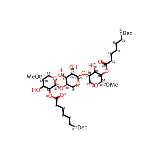 CCCCCCCCCCCCCCCC(=O)OC1C(O)[C@H](OC)CO[C@H]1O[C@@H]1CO[C@@H](O[C@@H]2CO[C@@H](OC)C(OC(=O)CCCCCCCCCCCCCCC)C2O)[C@@H](O)C1O